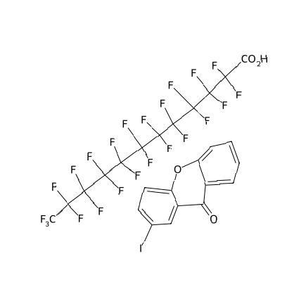 O=C(O)C(F)(F)C(F)(F)C(F)(F)C(F)(F)C(F)(F)C(F)(F)C(F)(F)C(F)(F)C(F)(F)C(F)(F)C(F)(F)F.O=c1c2ccccc2oc2ccc(I)cc12